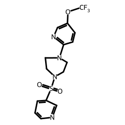 O=S(=O)(c1cccnc1)N1CCN(c2ccc(OC(F)(F)F)cn2)CC1